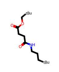 CC(C)(C)CCCNC(=O)CCC(=O)OCC(C)(C)C